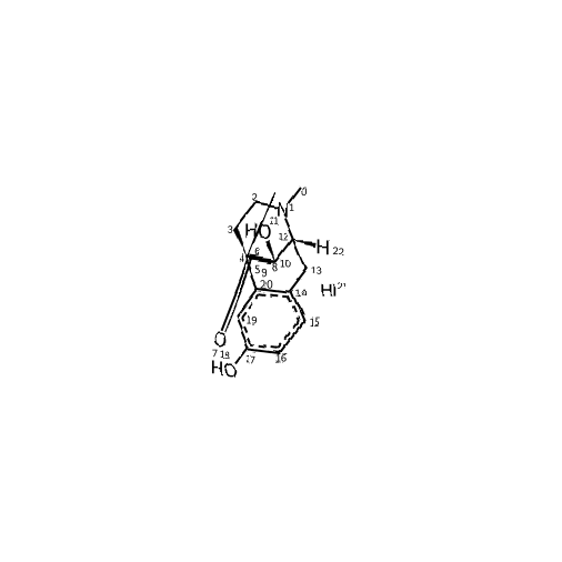 CN1CC[C@]23CC(=O)CC[C@@]2(O)[C@H]1Cc1ccc(O)cc13.I